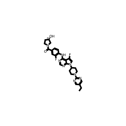 CCc1cnc(N2CCC(n3cc(F)c4c(Nc5ccc(C(=O)N6CC[C@@H](O)C6)cc5F)ncnc43)CC2)nc1